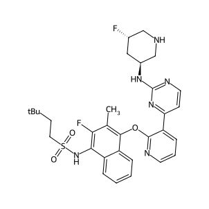 Cc1c(F)c(NS(=O)(=O)CCC(C)(C)C)c2ccccc2c1Oc1ncccc1-c1ccnc(N[C@@H]2CNC[C@@H](F)C2)n1